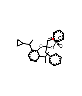 CC(C)c1cccc(C(C)C2CC2)c1OC(Cc1ccccc1)(Cc1ccccc1)OP(=O)(O)O